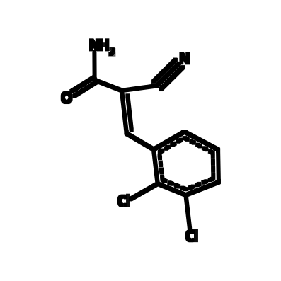 N#C/C(=C\c1cccc(Cl)c1Cl)C(N)=O